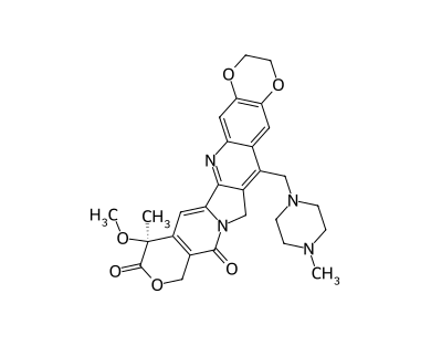 CO[C@]1(C)C(=O)OCc2c1cc1n(c2=O)Cc2c-1nc1cc3c(cc1c2CN1CCN(C)CC1)OCCO3